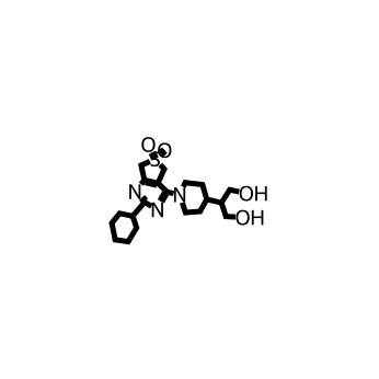 O=S1(=O)Cc2nc(C3CCCCC3)nc(N3CCC(C(CO)CO)CC3)c2C1